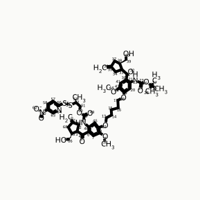 C=C1CC(C(=O)c2cc(OC)c(OCCCCCOc3cc(NC(=O)OC(C)(C)C)c(C(=O)C4CC(=C)C[C@H]4CO)cc3OC)cc2NC(=O)OC[C@@H](C)SSc2ccc([N+](=O)[O-])cn2)[C@H](CO)C1